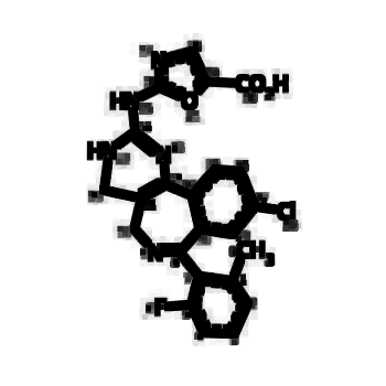 Cc1cccc(F)c1C1=NCC2=C(N=C(Nc3ncc(C(=O)O)o3)NC2)c2ccc(Cl)cc21